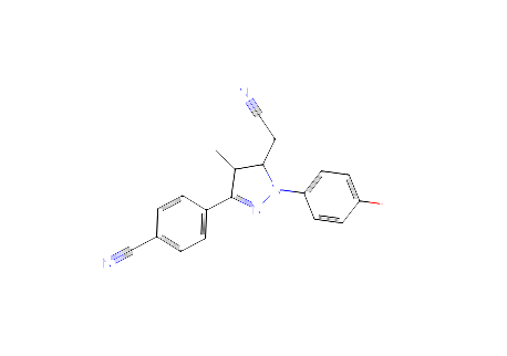 CC1C(c2ccc(C#N)cc2)=NN(c2ccc(O)cc2)C1CC#N